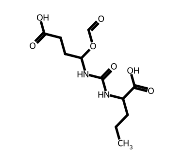 CCCC(NC(=O)NC(CCC(=O)O)OC=O)C(=O)O